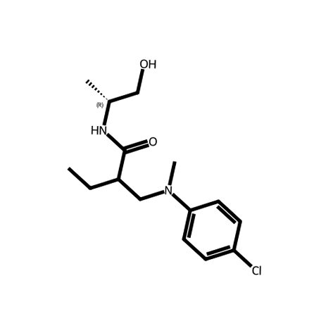 CCC(CN(C)c1ccc(Cl)cc1)C(=O)N[C@H](C)CO